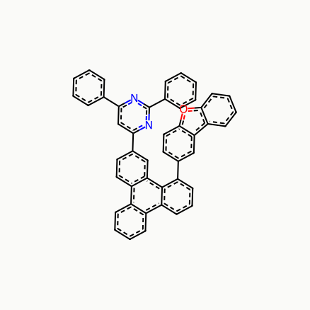 c1ccc(-c2cc(-c3ccc4c5ccccc5c5cccc(-c6ccc7oc8ccccc8c7c6)c5c4c3)nc(-c3ccccc3)n2)cc1